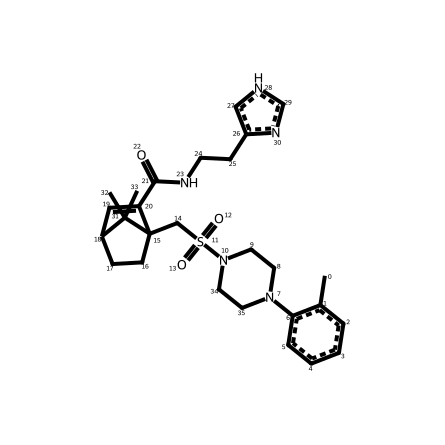 Cc1ccccc1N1CCN(S(=O)(=O)CC23CCC(C=C2C(=O)NCCc2c[nH]cn2)C3(C)C)CC1